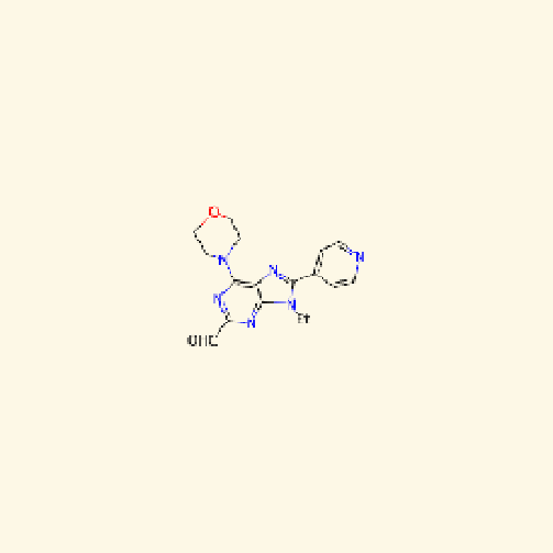 CCn1c(-c2ccncc2)nc2c(N3CCOCC3)nc(C=O)nc21